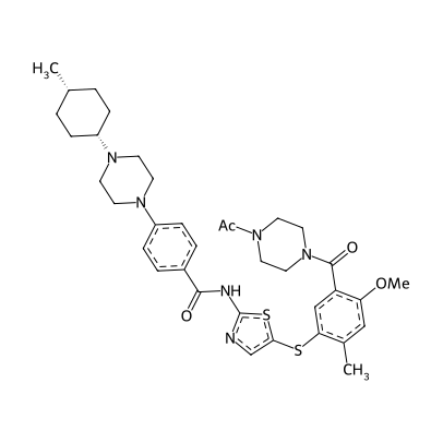 COc1cc(C)c(Sc2cnc(NC(=O)c3ccc(N4CCN([C@H]5CC[C@@H](C)CC5)CC4)cc3)s2)cc1C(=O)N1CCN(C(C)=O)CC1